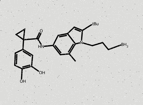 BCCCn1c(C(C)(C)C)cc2cc(NC(=O)C3(c4ccc(O)c(O)c4)CC3)cc(C)c21